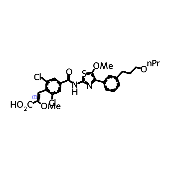 CCCOCCCc1cccc(-c2nc(NC(=O)c3cc(Cl)c(/C=C(\OC)C(=O)O)c(Cl)c3)sc2OC)c1